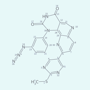 CSc1ncc(-c2ccc3ncc4c(=O)[nH]c(=O)n(-c5cccc(N=[N+]=[N-])c5)c4c3n2)cn1